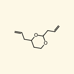 C=CC[C]1OCCC(CC=C)O1